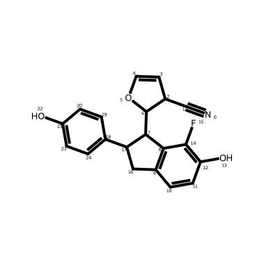 N#CC1C=COC1C1c2c(ccc(O)c2F)CC1c1ccc(O)cc1